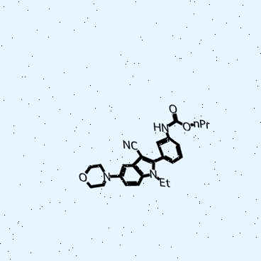 CCCOC(=O)Nc1cccc(-c2c(C#N)c3cc(N4CCOCC4)ccc3n2CC)c1